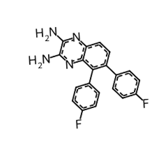 Nc1nc2ccc(-c3ccc(F)cc3)c(-c3ccc(F)cc3)c2nc1N